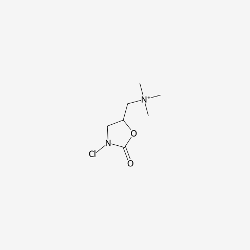 C[N+](C)(C)CC1CN(Cl)C(=O)O1